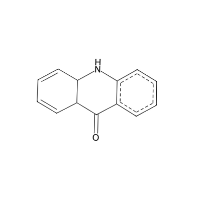 O=C1c2ccccc2NC2C=CC=CC12